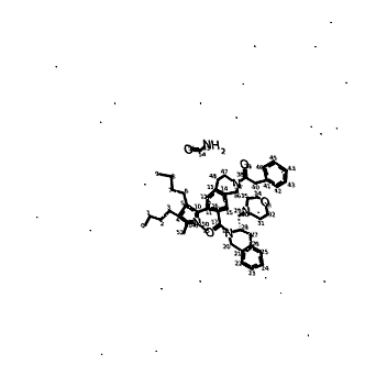 CCCCc1c(CCCC)c(-c2cc3c(cc2C(=O)N2Cc4ccccc4C[C@H]2CN2CCOCC2)CN(C(=O)Cc2ccccc2)CC3)n(C)c1C.NC=O